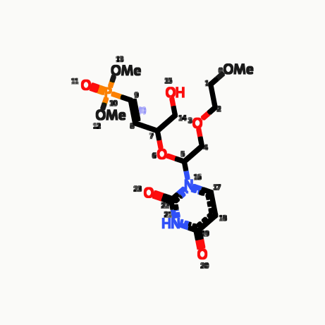 COCCOCC(OC(/C=C/P(=O)(OC)OC)CO)n1ccc(=O)[nH]c1=O